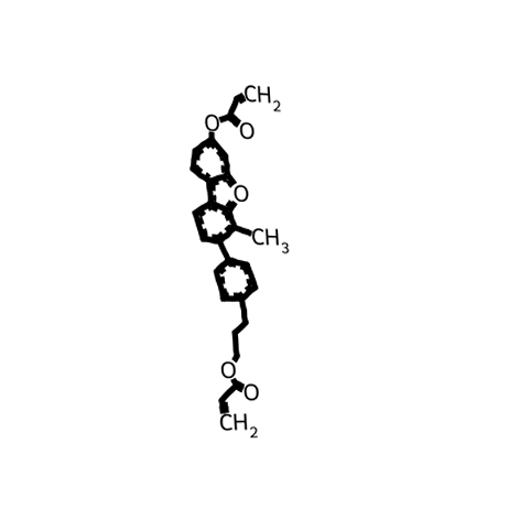 C=CC(=O)OCCCc1ccc(-c2ccc3c(oc4cc(OC(=O)C=C)ccc43)c2C)cc1